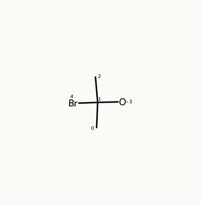 CC(C)([O])Br